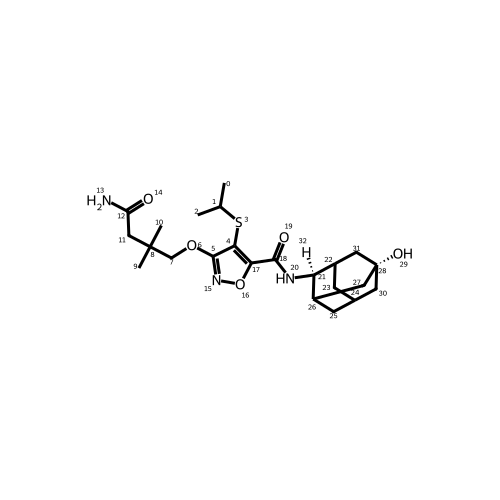 CC(C)Sc1c(OCC(C)(C)CC(N)=O)noc1C(=O)N[C@H]1C2CC3CC1C[C@](O)(C3)C2